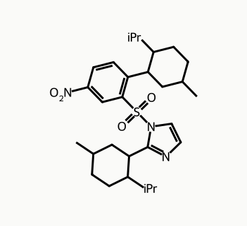 CC1CCC(C(C)C)C(c2ccc([N+](=O)[O-])cc2S(=O)(=O)n2ccnc2C2CC(C)CCC2C(C)C)C1